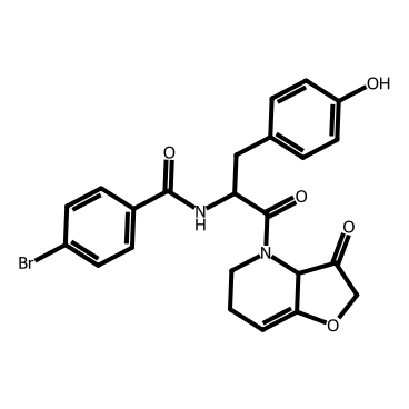 O=C(NC(Cc1ccc(O)cc1)C(=O)N1CCC=C2OCC(=O)C21)c1ccc(Br)cc1